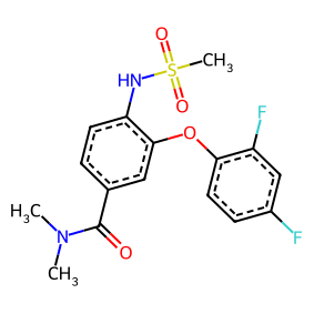 CN(C)C(=O)c1ccc(NS(C)(=O)=O)c(Oc2ccc(F)cc2F)c1